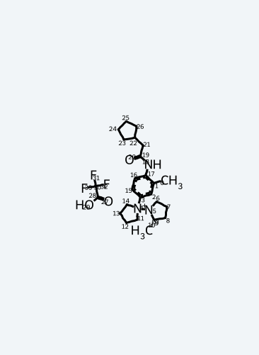 Cc1cc([N+]2(N3CCC[C@@H]3C)CCCC2)ccc1NC(=O)CC1CCCC1.O=C(O)C(F)(F)F